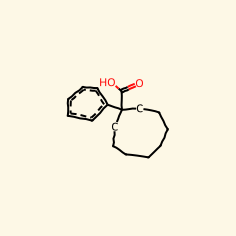 O=C(O)C1(c2ccccc2)CCCCCCCC1